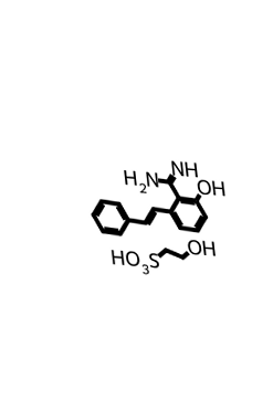 N=C(N)c1c(O)cccc1C=Cc1ccccc1.O=S(=O)(O)CCO